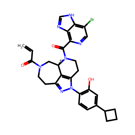 C=CC(=O)N1CCc2nn(-c3ccc(C4CCC4)cc3O)c3c2[C@H](C1)N(C(=O)c1ncc(Br)c2[nH]cnc12)CC3